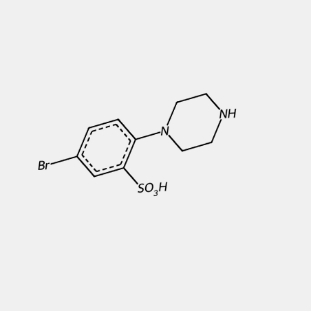 O=S(=O)(O)c1cc(Br)ccc1N1CCNCC1